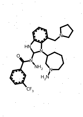 NN1CCCCC(N2c3c(CN4CCCC4)cccc3NC2N(N)C(=O)c2cccc(C(F)(F)F)c2)C1